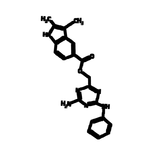 Cc1[nH]c2ccc(C(=O)OCc3nc(N)nc(Nc4ccccc4)n3)cc2c1C